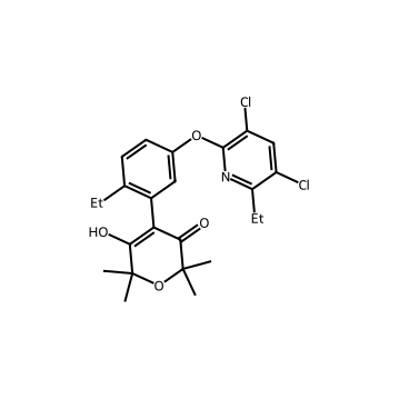 CCc1ccc(Oc2nc(CC)c(Cl)cc2Cl)cc1C1=C(O)C(C)(C)OC(C)(C)C1=O